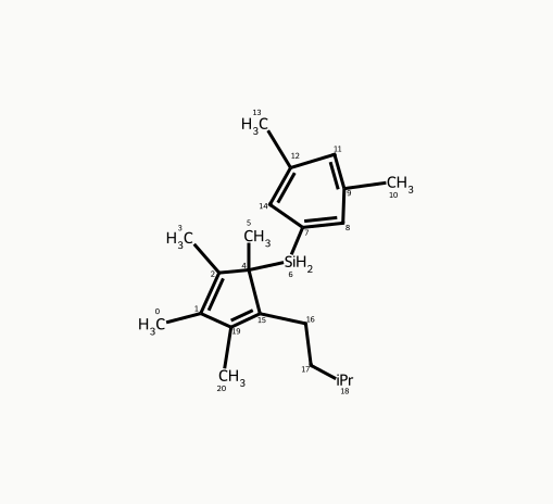 CC1=C(C)C(C)([SiH2]c2cc(C)cc(C)c2)C(CCC(C)C)=C1C